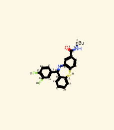 CCCCNC(=O)c1ccc2c(c1)N=C(c1ccc(F)c(F)c1)c1ccccc1S2